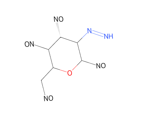 N=NC1C(N=O)OC(CN=O)C(N=O)[C@@H]1N=O